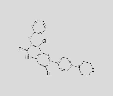 O=c1[nH]c2cc(Cl)c(-c3ccc(N4CCOCC4)cc3)cc2c(O)c1Sc1ccccc1